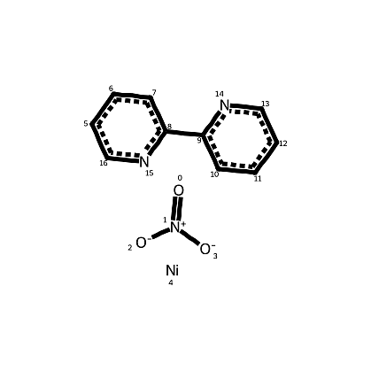 O=[N+]([O-])[O-].[Ni].c1ccc(-c2ccccn2)nc1